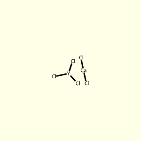 [Cl][Ca][Cl].[Cl][Y]([Cl])[Cl]